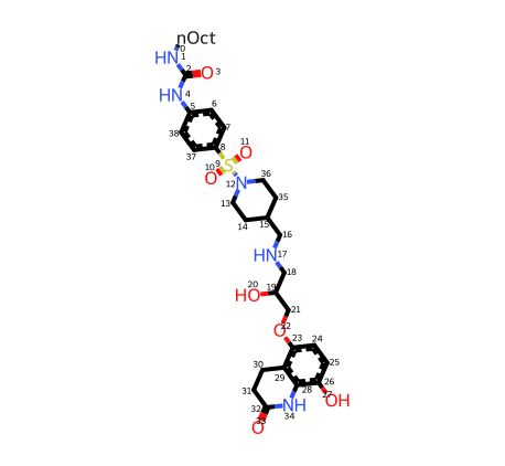 CCCCCCCCNC(=O)Nc1ccc(S(=O)(=O)N2CCC(CNCC(O)COc3ccc(O)c4c3CCC(=O)N4)CC2)cc1